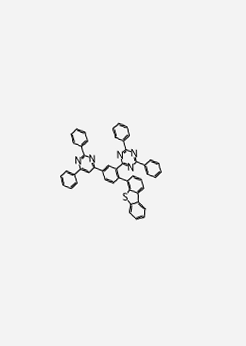 c1ccc(-c2cc(-c3ccc(-c4cccc5c4sc4ccccc45)c(-c4nc(-c5ccccc5)nc(-c5ccccc5)n4)c3)nc(-c3ccccc3)n2)cc1